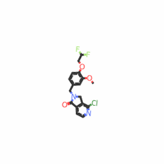 COc1cc(CN2Cc3c(ccnc3Cl)C2=O)ccc1OCC(F)F